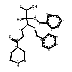 CC(O)C(O)(OCc1ccccc1)[C@H](CCC(=O)N1CCNCC1)OCc1ccccc1